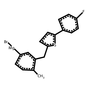 Cc1cc[c]([Mg][Br])cc1Cc1ccc(-c2ccc(F)cc2)s1